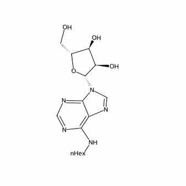 CCCCCCNc1ncnc2c1ncn2[C@@H]1O[C@H](CO)[C@@H](O)[C@H]1O